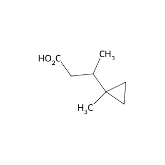 CC(CC(=O)O)C1(C)CC1